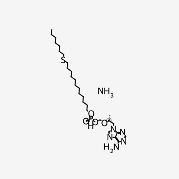 CCCCCCCSCCCCCCCCCCCCO[PH](=O)OCO[C@H](C)Cn1cnc2c(N)ncnc21.N